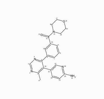 Cc1ncnc(-c2cccc(C(=O)N3CCOCC3)c2)c1-c1ccc(N)nc1